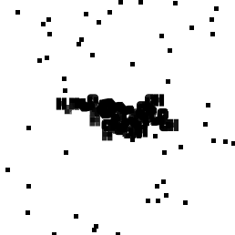 NCCC(=O)Nc1ccc(CC(CN(CCN(CC(=O)O)CC(=O)O)CC(=O)O)N(CC(=O)O)CC(=O)O)cc1